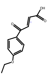 CCOc1ccc(C(=O)/C=C/C(=O)O)cc1